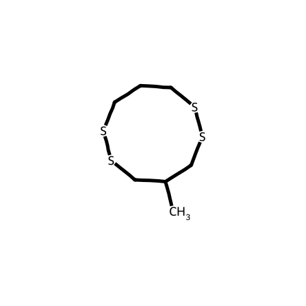 CC1CSSCCCSSC1